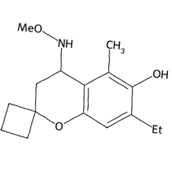 CCc1cc2c(c(C)c1O)C(NOC)CC1(CCC1)O2